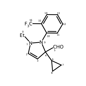 CCN1C=CC(C=O)(C2CC2)N1c1ccccc1C(F)(F)F